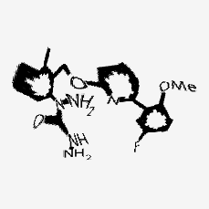 COc1ccc(F)cc1-c1cccc(OCc2c(C)cccc2N(N)C(=O)NN)n1